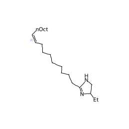 CCCCCCCC/C=C\CCCCCCCCC1=NC(CC)CN1